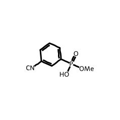 [C-]#[N+]c1cccc(P(=O)(O)OC)c1